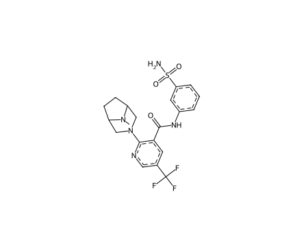 CN1C2CCC1CN(c1ncc(C(F)(F)F)cc1C(=O)Nc1cccc(S(N)(=O)=O)c1)C2